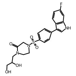 O=C1CN(S(=O)(=O)c2ccc(-c3c[nH]c4cc(F)ccc34)cc2)CCN1CC(O)CO